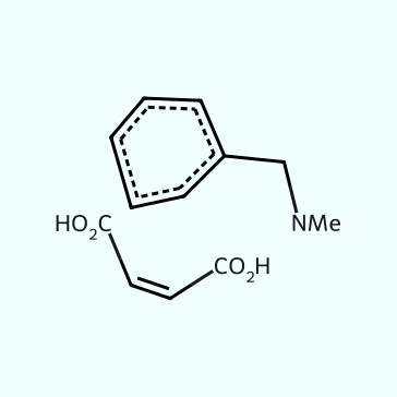 CNCc1ccccc1.O=C(O)/C=C\C(=O)O